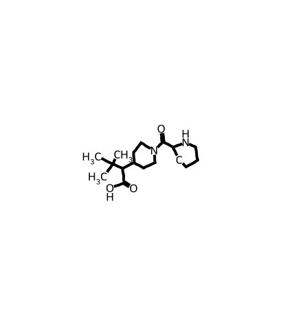 CC(C)(C)C(C(=O)O)C1CCN(C(=O)C2CCCCN2)CC1